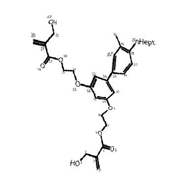 C=C(CO)C(=O)OCCOc1cc(OCCOC(=O)C(=C)CO)cc(-c2ccc(CCCCCCC)c(C)c2)c1